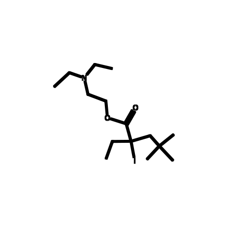 CCN(CC)CCOC(=O)C(I)(CC)CC(C)(C)C